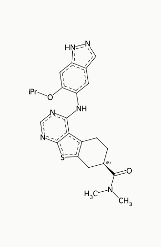 CC(C)Oc1cc2[nH]ncc2cc1Nc1ncnc2sc3c(c12)CC[C@@H](C(=O)N(C)C)C3